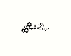 CCOC(=O)C(C)(C)CCCCCC(c1ccccc1Cl)N1CCc2sccc2C1